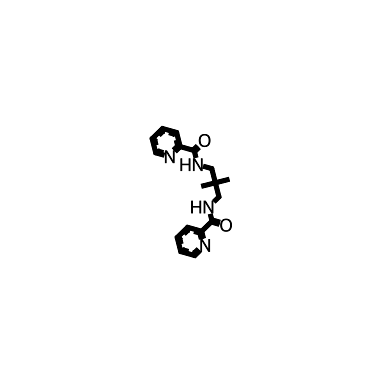 CC(C)(CNC(=O)c1ccccn1)CNC(=O)c1ccccn1